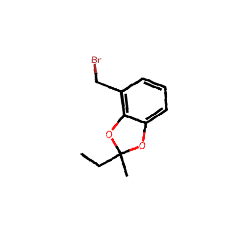 CCC1(C)Oc2cccc(CBr)c2O1